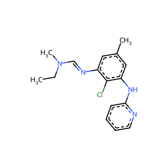 CCN(C)C=Nc1cc(C)cc(Nc2ccccn2)c1Cl